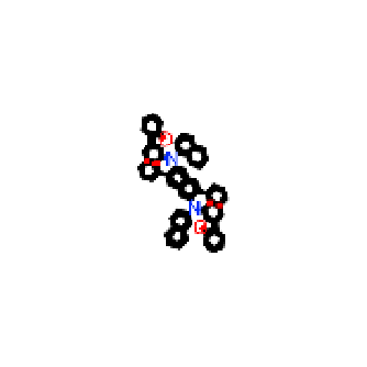 c1ccc(-c2cc3cc(N(c4cccc5ccccc45)c4cccc5c4oc4ccccc45)c(-c4ccccc4)cc3cc2N(c2ccc3ccccc3c2)c2cccc3c2oc2ccccc23)cc1